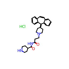 Cl.O=C(CCN1CCC(=C2c3ccccc3C=Cc3ccccc32)CC1)NC(=O)C1CCNCC1